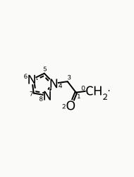 [CH2]C(=O)Cn1cncn1